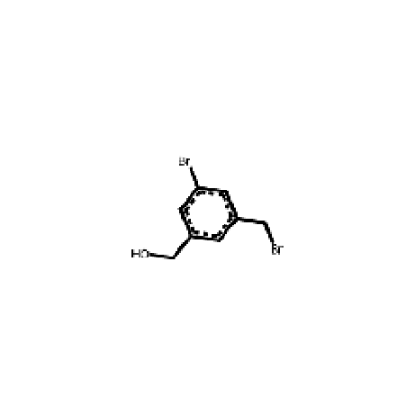 OCc1cc(Br)cc(CBr)c1